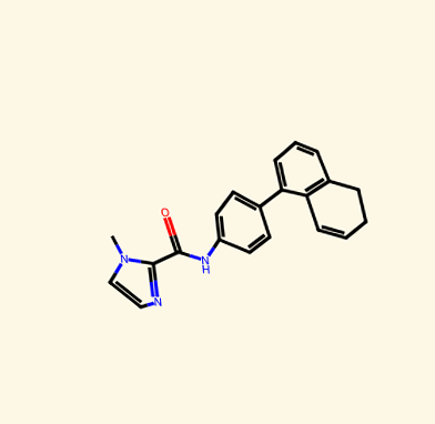 Cn1ccnc1C(=O)Nc1ccc(-c2cccc3c2C=CCC3)cc1